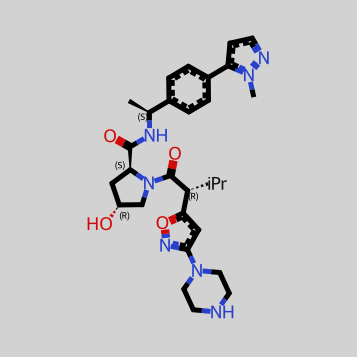 CC(C)[C@@H](C(=O)N1C[C@H](O)C[C@H]1C(=O)N[C@@H](C)c1ccc(-c2ccnn2C)cc1)c1cc(N2CCNCC2)no1